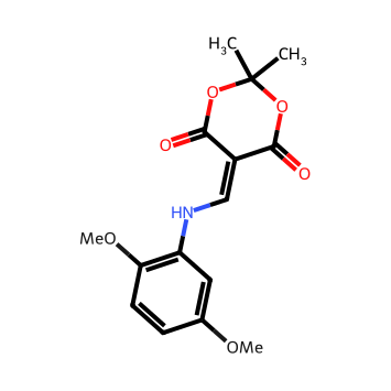 COc1ccc(OC)c(NC=C2C(=O)OC(C)(C)OC2=O)c1